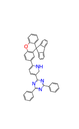 C1=C(c2ccc3c(c2)C2(c4ccccc4O3)c3ccccc3-c3ccccc32)NCC(c2nc(-c3ccccc3)nc(-c3ccccc3)n2)=C1